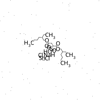 CCCCC(CC)COC(=O)CC(C(=O)OCC(CC)CCCC)S(=O)(=O)O.[Cl][Sn][Cl].[NaH]